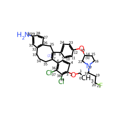 CCOc1ccc(/C2=C(\c3ccc(O[C@H]4CCN(CCCF)C4)cc3)Cc3ccc(N)cc3CCC2)c(Cl)c1Cl